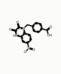 O=C(O)c1ccc(Cn2c(=O)c(=O)[nH]c3cc([N+](=O)[O-])ccc32)cc1